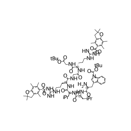 Cc1c(C)c(S(=O)(=O)NC(=N)NCCC[C@H](NC(=O)CNC(=O)[C@H](CCCNC(=N)NS(=O)(=O)c2c(C)c(C)c3c(c2C)CC(C)(C)O3)NC(=O)[C@@H](NC(=O)[C@H](CC(C)C)NC(=O)[C@@H](N)Cc2cn(C(=O)OC(C)(C)C)c3ccccc23)C(C)C)C(=O)NCC(=O)OC(C)(C)C)c(C)c2c1OC(C)(C)C2